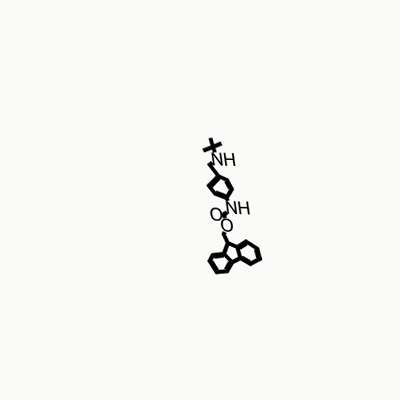 CC(C)(C)NCc1ccc(NC(=O)OCC2c3ccccc3-c3ccccc32)cc1